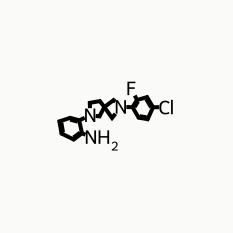 Nc1ccccc1N1CCC2(C1)CN(c1ccc(Cl)cc1F)C2